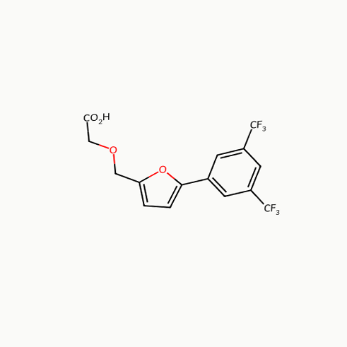 O=C(O)COCc1ccc(-c2cc(C(F)(F)F)cc(C(F)(F)F)c2)o1